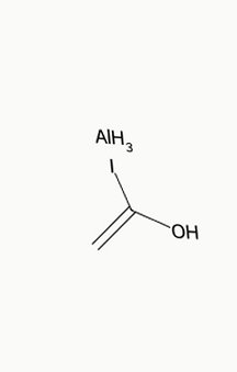 C=C(O)I.[AlH3]